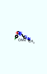 COc1cc(/C=C/c2nc3n(n2)CCO[C@H]3c2ccc(F)cc2)cnc1-n1cnc(C)c1